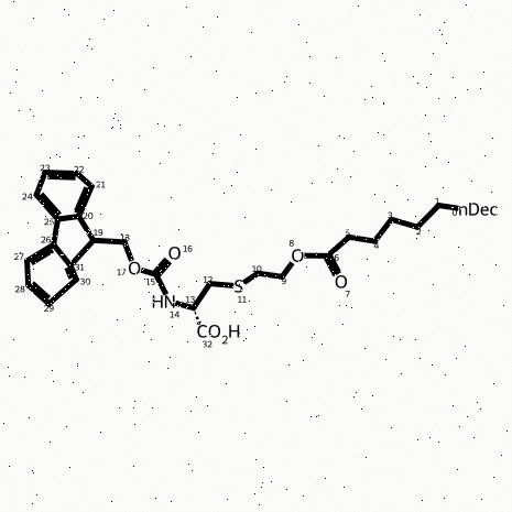 CCCCCCCCCCCCCCCC(=O)OCCSC[C@@H](NC(=O)OCC1c2ccccc2-c2ccccc21)C(=O)O